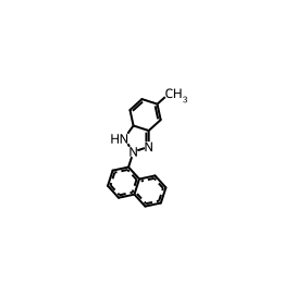 CC1=CC2=NN(c3cccc4ccccc34)NC2C=C1